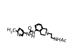 CC(=O)NCCN1CCc2c(cccc2NC(=O)Nc2ccc(C)nc2)C1